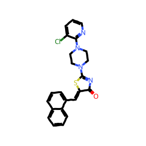 O=C1N=C(N2CCN(c3ncccc3Cl)CC2)S/C1=C\c1cccc2ccccc12